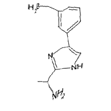 Bc1cccc(-c2c[nH]c(C(C)N)n2)c1